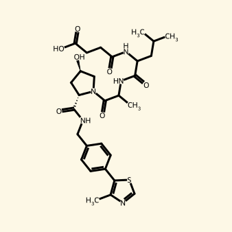 Cc1ncsc1-c1ccc(CNC(=O)[C@@H]2C[C@@H](O)CN2C(=O)C(C)NC(=O)C(CC(C)C)NC(=O)CCC(=O)O)cc1